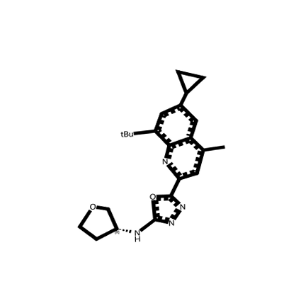 Cc1cc(-c2nnc(N[C@@H]3CCOC3)o2)nc2c(C(C)(C)C)cc(C3CC3)cc12